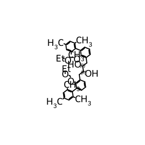 CCOCOc1c(C[C@@H](O)[C@H](O)Cc2cccc(-c3c(C)cc(C)cc3C)c2OCOCC)cccc1-c1c(C)cc(C)cc1C